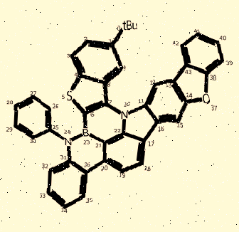 CC(C)(C)c1ccc2sc3c(c2c1)-n1c2cc4c(cc2c2ccc5c(c21)B3N(c1ccccc1)c1ccccc1-5)oc1ccccc14